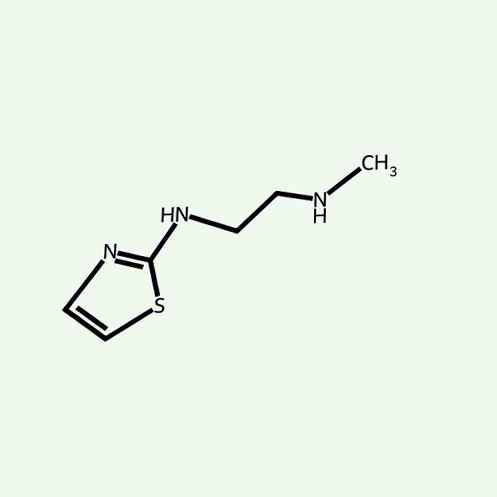 CNCCNc1nccs1